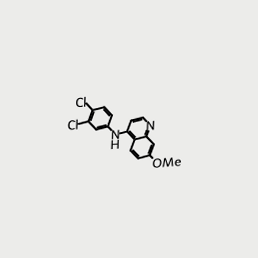 COc1ccc2c(Nc3ccc(Cl)c(Cl)c3)ccnc2c1